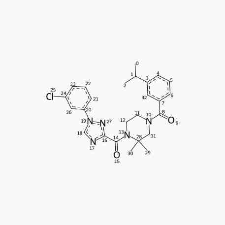 CC(C)c1cccc(C(=O)N2CCN(C(=O)c3ncn(-c4cccc(Cl)c4)n3)C(C)(C)C2)c1